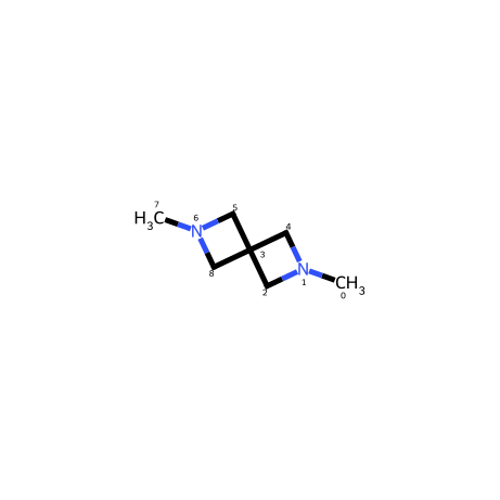 CN1CC2(C1)CN(C)C2